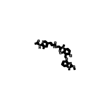 COc1nc2c(OCc3c(Cl)ccc(N(C)C(=O)CNC(=O)C=Cc4cnc(NC(C)=O)c(C)c4)c3Cl)cccc2n1C